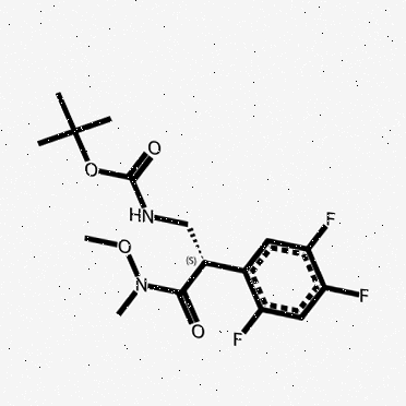 CON(C)C(=O)[C@H](CNC(=O)OC(C)(C)C)c1cc(F)c(F)cc1F